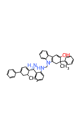 CC1CC(c2ccccc2)=CC=C1C(N)c1ccccc1NCn1c2c(c3ccccc31)C=C(O)C(C)(c1ccccc1)C2